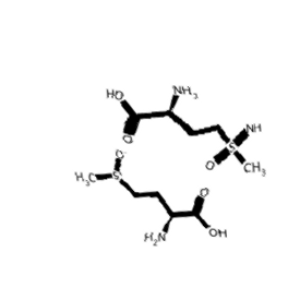 CS(=N)(=O)CC[C@H](N)C(=O)O.C[S+]([O-])CC[C@H](N)C(=O)O